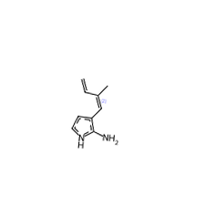 C=C/C(C)=C\c1cc[nH]c1N